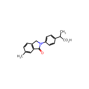 Cc1ccc2c(c1)C(=O)N(c1ccc(C(C)C(=O)O)cc1)C2